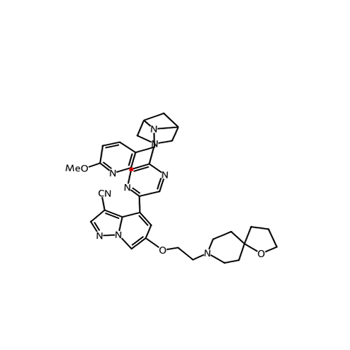 COc1ccc(CN2C3CC2CN(c2cnc(-c4cc(OCCN5CCC6(CCCO6)CC5)cn5ncc(C#N)c45)cn2)C3)cn1